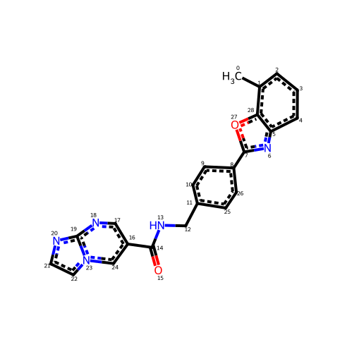 Cc1cccc2nc(-c3ccc(CNC(=O)c4cnc5nccn5c4)cc3)oc12